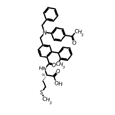 CSCC[C@H](NC(=O)c1ccc(CN(Cc2ccccc2)c2ccc(C(C)=O)cc2)cc1-c1ccccc1C)C(=O)O